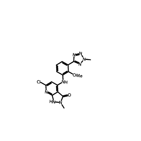 COc1c(Nc2cc(Cl)nc3[nH]n(C)c(=O)c23)cccc1-c1nnn(C)n1